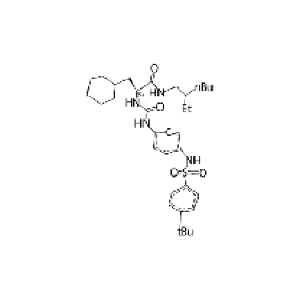 CCCCC(CC)CNC(=O)[C@H](CC1CCCCC1)NC(=O)Nc1ccc(NS(=O)(=O)c2ccc(C(C)(C)C)cc2)cc1